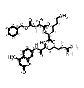 Cc1cc(=O)oc2cc(NC(=O)[C@H](CCCNC(=N)N)NC(=O)[C@H](CCCCN)NC(=O)[C@@H](NC(=O)OCc3ccccc3)C(C)C)ccc12